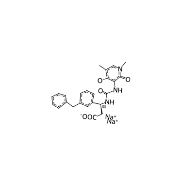 Cc1cn(C)c(=O)c(NC(=O)N[C@@H](CC(=O)[O-])c2cccc(Cc3ccccc3)c2)c1[O-].[Na+].[Na+]